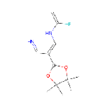 C=C(F)N/C=C(\C=N)B1OC(C)(C)C(C)(C)O1